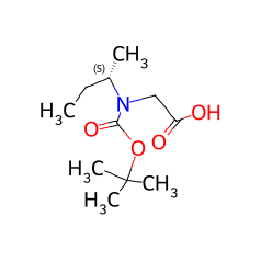 CC[C@H](C)N(CC(=O)O)C(=O)OC(C)(C)C